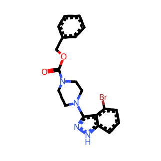 O=C(OCc1ccccc1)N1CCN(c2n[nH]c3cccc(Br)c23)CC1